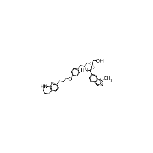 Cn1ncc2ccc(C(=O)NC(COCO)Cc3ccc(OCCCc4ccc5c(n4)NCCC5)cc3)cc21